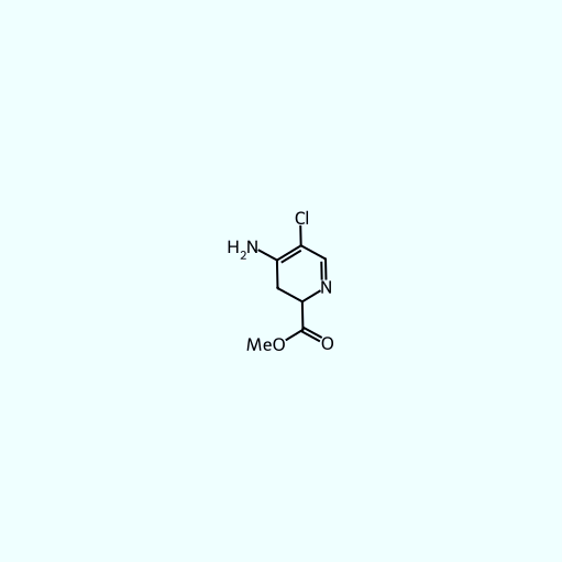 COC(=O)C1CC(N)=C(Cl)C=N1